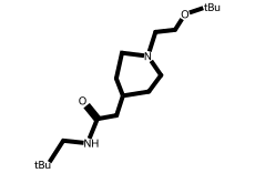 CC(C)(C)CNC(=O)CC1CCN(CCOC(C)(C)C)CC1